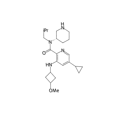 COC1CC(Nc2cc(C3CC3)cnc2C(=O)N(CC(C)C)[C@H]2CCCNC2)C1